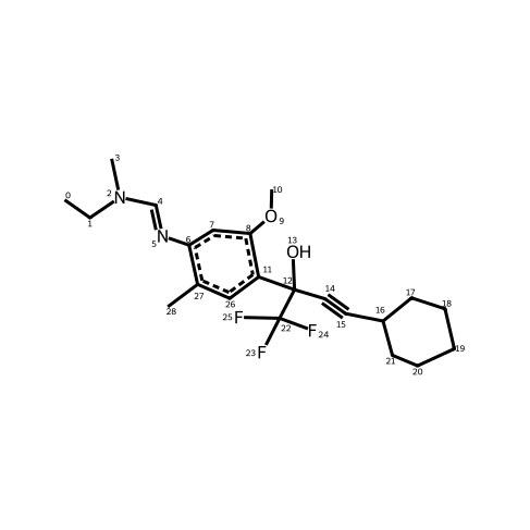 CCN(C)/C=N/c1cc(OC)c(C(O)(C#CC2CCCCC2)C(F)(F)F)cc1C